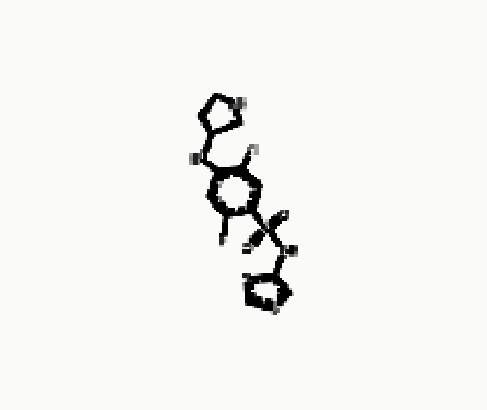 O=S(=O)(Nc1cscn1)c1cc(Cl)c(NC2CCNC2)cc1F